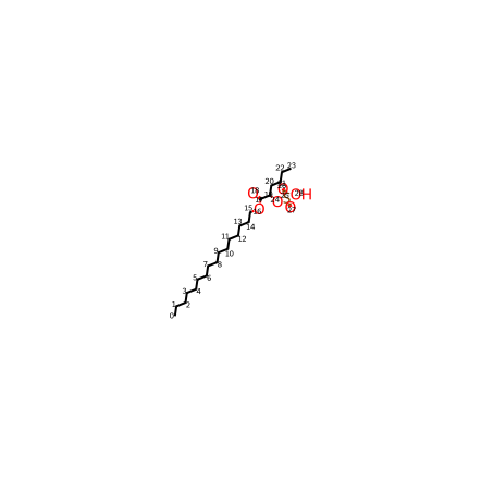 CCCCCCCCCCCCCCCCOC(=O)C(CCCC)OS(=O)(=O)O